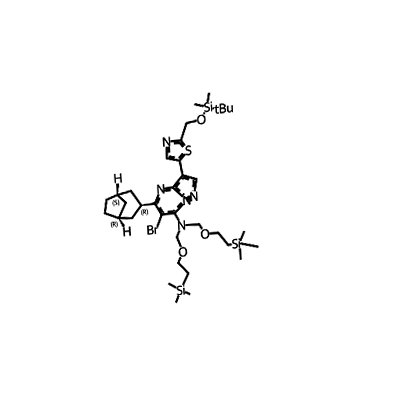 CC(C)(C)[Si](C)(C)OCc1ncc(-c2cnn3c(N(COCC[Si](C)(C)C)COCC[Si](C)(C)C)c(Br)c([C@H]4C[C@@H]5CC[C@@H](C5)C4)nc23)s1